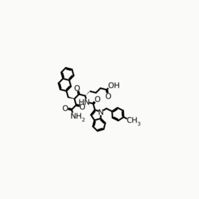 Cc1ccc(Cn2c(C(=O)N[C@@H](CCCC(=O)O)C(=O)[C@H](Cc3ccc4ccccc4c3)C(=O)C(N)=O)cc3ccccc32)cc1